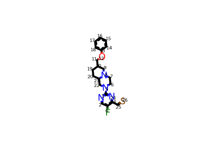 Fc1cnc(N2CCN3CC(COc4ccccc4)CCC3C2)nc1C=S